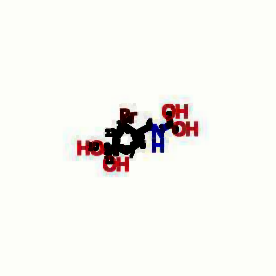 OC(O)NCc1ccc(C(O)O)cc1Br